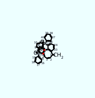 C=C1/C=C\C=C(\P(=O)(c2ccccc2)c2ccccc2)Sc2c1cccc2P(=O)(c1ccccc1)c1ccccc1